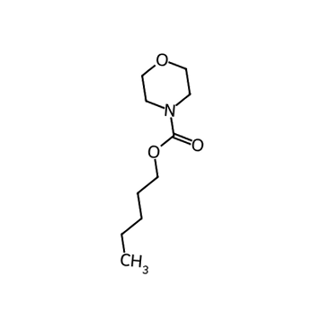 CCCCCOC(=O)N1CCOCC1